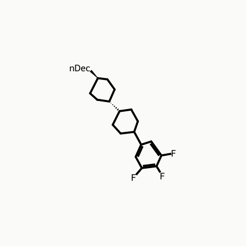 CCCCCCCCCC[C@H]1CC[C@H](C2CCC(c3cc(F)c(F)c(F)c3)CC2)CC1